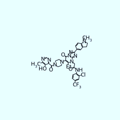 CCc1c(N2CCN(C(=O)c3ncnc(C)c3O)CC2)c(=O)n2nc(-c3ccc4c(c3)CCN4C)nc2n1CC(=O)Nc1ccc(C(F)(F)F)cc1Cl